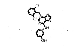 Oc1cccc(Nc2ncn(Cc3c(Cl)cccc3Cl)c3ncnc2-3)c1